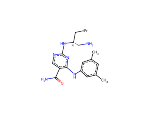 Cc1cc(C)cc(Nc2nc(N[C@@H](CN)CC(C)C)ncc2C(N)=O)c1